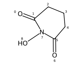 O=C1CCCC(=O)N1O